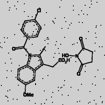 COc1ccc2c(c1)c(CC(=O)O)c(C)n2C(=O)c1ccc(Cl)cc1.O=C1CCC(=O)N1O